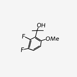 COc1ccc(F)c(F)c1C(C)(C)O